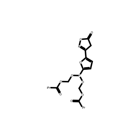 CC(C)C(=O)OCOP(OCOC(=O)C(C)C)c1ccc(C2=NOC(=O)C2)o1